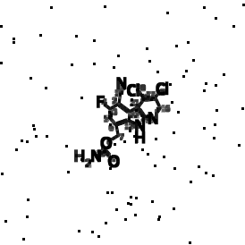 N#Cc1c(F)cc(COC(N)=O)c2[nH]c3ncc(Cl)c(Cl)c3c12